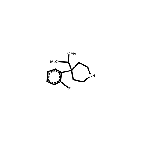 COC(OC)C1(c2ccccc2F)CCNCC1